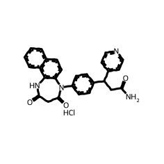 Cl.NC(=O)CC(c1ccncc1)c1ccc(N2C(=O)CC(=O)Nc3c2ccc2ccccc32)cc1